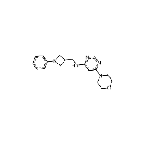 c1ccc(N2CC(CNc3cc(N4CCOCC4)ncn3)C2)cc1